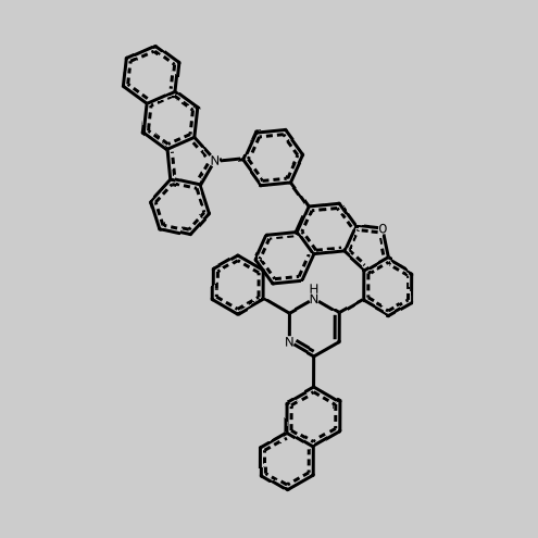 C1=C(c2cccc3oc4cc(-c5cccc(-n6c7ccccc7c7cc8ccccc8cc76)c5)c5ccccc5c4c23)NC(c2ccccc2)N=C1c1ccc2ccccc2c1